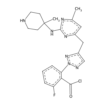 Cc1cc(Cc2cnn(-c3cccc(F)c3C(=O)Cl)n2)nc(NC2(C)CCNCC2)n1